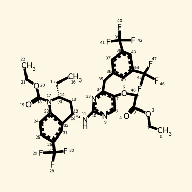 CCOC(=O)COc1cnc(N[C@H]2C[C@@H](CC)N(C(=O)OCC)c3ccc(C(F)(F)F)cc32)nc1Cc1cc(C(F)(F)F)cc(C(F)(F)F)c1